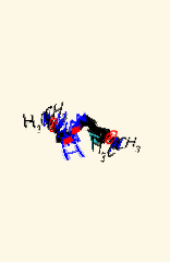 CN(C)CCOc1cncc(-c2ccc3[nH]nc(-c4cc5c(-c6cc(F)cc(OCCN(C)C)c6)ccnc5[nH]4)c3c2)c1